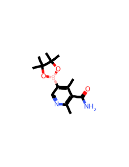 Cc1ncc(B2OC(C)(C)C(C)(C)O2)c(C)c1C(N)=O